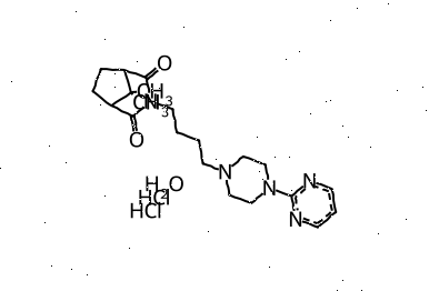 CC1(C)C2CCC1C(=O)N(CCCCN1CCN(c3ncccn3)CC1)C2=O.Cl.Cl.O